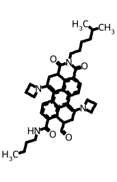 CCCCNC(=O)c1ccc2c3c4c5c(ccc4c4c2c1C(C=O)CC=4N1CCC1)C(=O)N(CCCCC(C)C)C(=O)C5CC=3N1CCC1